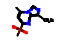 CCOC(=O)c1ncn2c(C)cc(S(C)(=O)=O)nc12